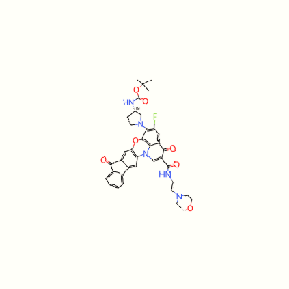 CC(C)(C)OC(=O)N[C@H]1CCN(c2c(F)cc3c(=O)c(C(=O)NCCN4CCOCC4)cn4c5cc6c(cc5oc2c34)c(=O)c2ccccc26)C1